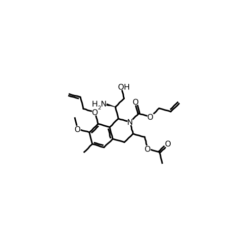 C=CCOC(=O)N1C(COC(C)=O)Cc2cc(C)c(OC)c(OCC=C)c2C1[C@@H](N)CO